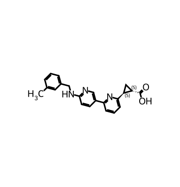 Cc1cccc(CNc2ccc(-c3cccc([C@H]4C[C@@H]4C(=O)O)n3)cn2)c1